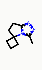 Cc1nnc2n1C1(CCC1)CC2